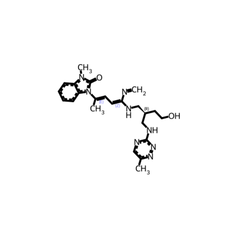 C=N/C(=C\C=C(/C)n1c(=O)n(C)c2ccccc21)NC[C@@H](CCO)CNc1ncc(C)nn1